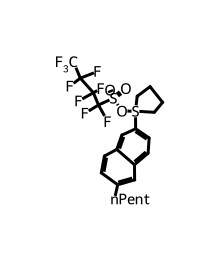 CCCCCc1ccc2cc(S3(OS(=O)(=O)C(F)(F)C(F)(F)C(F)(F)C(F)(F)F)CCCC3)ccc2c1